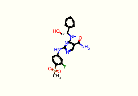 CS(=O)(=O)c1ccc(Nc2ncc(C(N)=O)c(N[C@H](CO)c3ccccc3)n2)cc1F